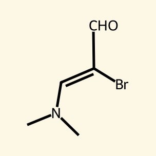 CN(C)C=C(Br)C=O